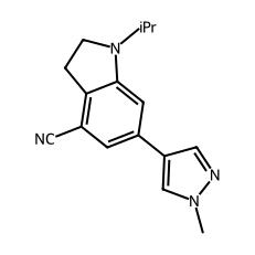 CC(C)N1CCc2c(C#N)cc(-c3cnn(C)c3)cc21